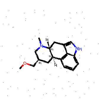 COC[C@@H]1C[C@@H]2c3cccc4[nH]cc(c34)C[C@H]2N(C)C1